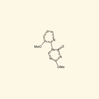 COc1ncn(-c2ncccc2OC)c(=O)n1